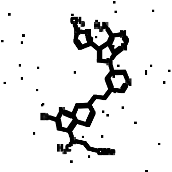 CCc1cc(N(C)CCOC)c2ccc(CCc3cncc(-n4cc(-c5ccn(C)n5)c5c(N)ncnc54)c3)cc2n1